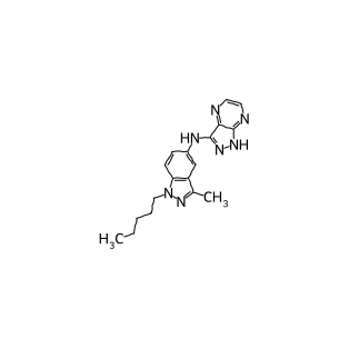 CCCCCn1nc(C)c2cc(Nc3n[nH]c4nccnc34)ccc21